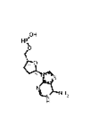 NC1NC=Nc2c1ncn2[C@H]1CC[C@@H](COPO)O1